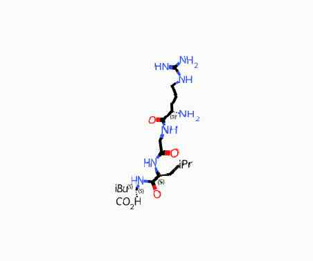 CC[C@H](C)[C@H](NC(=O)[C@H](CC(C)C)NC(=O)CNC(=O)[C@@H](N)CCCNC(=N)N)C(=O)O